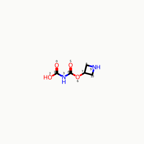 O=C(O)NC(=O)OC1CNC1